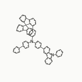 c1ccc(-c2ccc(N(c3ccc(-c4ccc5c(c4)c4ccccc4n5-c4ccccc4)cc3)c3ccc(-c4cccc5c4C4(c6ccccc6-c6ccccc64)c4ccccc4-5)cc3)cc2)cc1